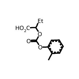 CCC(OC(=O)Oc1ccccc1C)C(=O)O